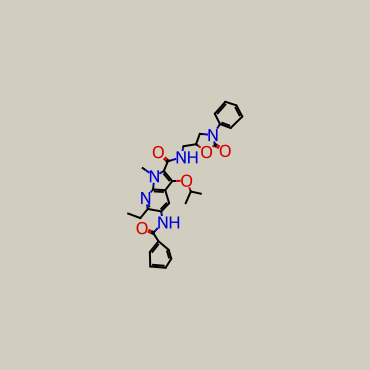 CCc1nc2c(cc1NC(=O)c1ccccc1)c(OC(C)C)c(C(=O)NCC1CN(c3ccccc3)C(=O)O1)n2C